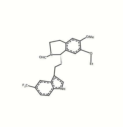 CCOc1cc2c(cc1OC)CCN(C=O)[C@H]2CCc1c[nH]c2ccc(C(F)(F)F)cc12